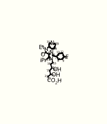 CCN(C(=O)c1nc(-c2ccc(F)cc2)n(CC[C@@H](O)C[C@@H](O)CC(=O)O)c1C(C)C)c1cccnc1